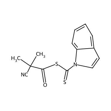 CC(C)(C#N)C(=O)SC(=S)n1ccc2ccccc21